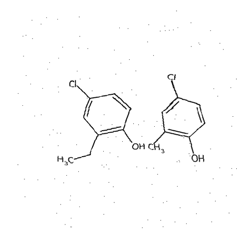 CCc1cc(Cl)ccc1O.Cc1cc(Cl)ccc1O